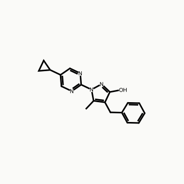 Cc1c(Cc2ccccc2)c(O)nn1-c1ncc(C2CC2)cn1